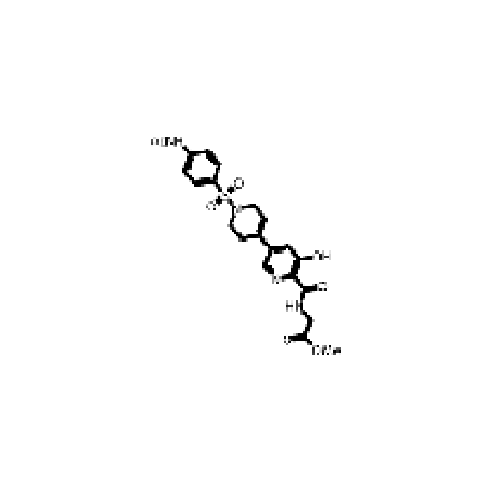 COC(=O)CNC(=O)c1ncc(C2=CCN(S(=O)(=O)c3ccc(NC(C)=O)cc3)CC2)cc1O